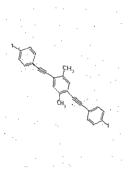 Cc1cc(C#Cc2ccc(I)cc2)c(C)cc1C#Cc1ccc(I)cc1